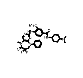 COc1cc(C(=O)NC2CCC(N(C)C)CC2)ccc1Nc1ncc2c(n1)N(c1ccccc1)CC(F)(F)C(=O)N2C